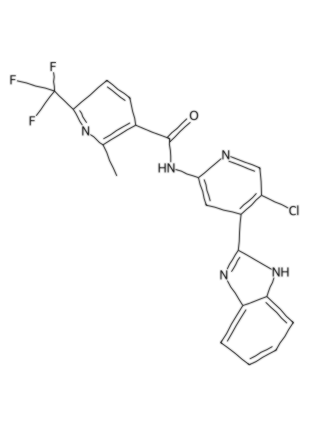 Cc1nc(C(F)(F)F)ccc1C(=O)Nc1cc(-c2nc3ccccc3[nH]2)c(Cl)cn1